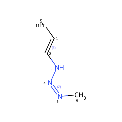 CCC/C=C/N/N=N\C